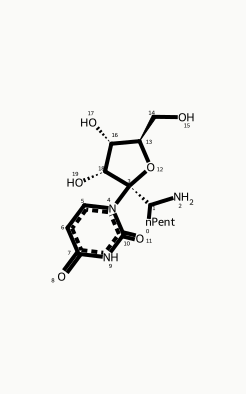 CCCCCC(N)[C@@]1(n2ccc(=O)[nH]c2=O)O[C@H](CO)[C@@H](O)[C@H]1O